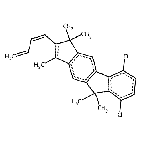 C=C/C=C\C1=C(C)c2cc3c(cc2C1(C)C)-c1c(Cl)ccc(Cl)c1C3(C)C